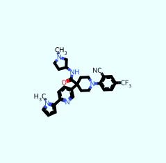 CN1CCC(NC(=O)C2(c3ccc(-c4cccn4C)nc3)CCN(c3ccc(C(F)(F)F)cc3C#N)CC2)C1